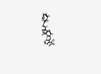 CN(F)C(=O)c1ccccc1Sc1ccc2c(/C=C/c3ccccn3)nn(C)c2c1